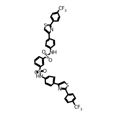 O=S(=O)(Nc1ccc(-c2csc(-c3ccc(C(F)(F)F)cc3)n2)cc1)c1cccc(S(=O)(=O)Nc2ccc(-c3csc(-c4ccc(C(F)(F)F)cc4)n3)cc2)c1